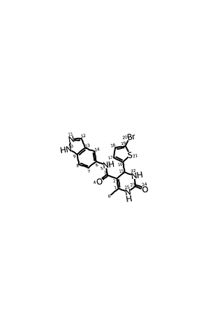 CC1=C(C(=O)Nc2ccc3[nH]ncc3c2)C(c2ccc(Br)s2)NC(=O)N1